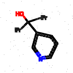 CC(C)C(O)(c1cccnc1)C(C)C